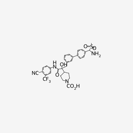 CS(=O)(=O)C(N)c1ccc(-c2cccc(CC(O)(C(=O)Nc3ccc(C#N)c(C(F)(F)F)c3)C3CCN(C(=O)O)CC3)c2)cc1